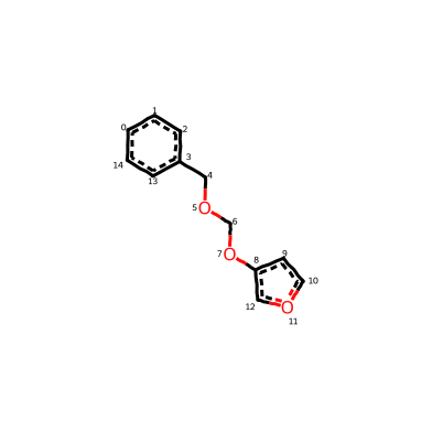 c1ccc(COCOc2ccoc2)cc1